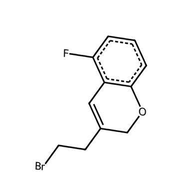 Fc1cccc2c1C=C(CCBr)CO2